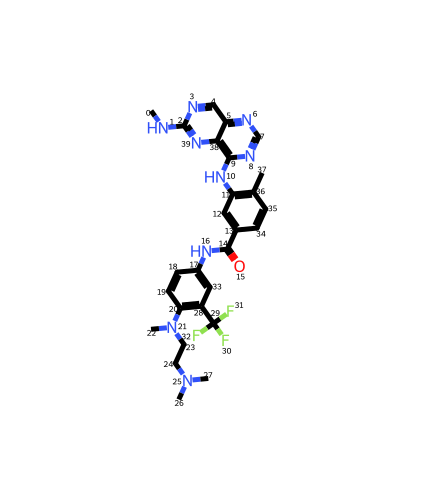 CNc1ncc2ncnc(Nc3cc(C(=O)Nc4ccc(N(C)CCN(C)C)c(C(F)(F)F)c4)ccc3C)c2n1